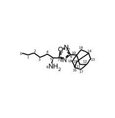 CCCCC[C@H](N)c1nc(C23CC4CC(CC(C4)C2)C3)no1